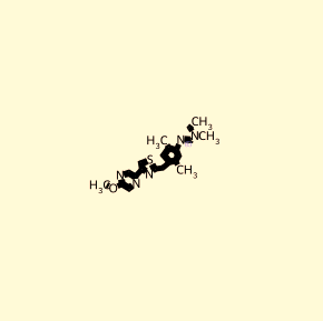 CCN(C)/C=N/c1cc(C)c(Cc2nc(-c3cnc(OC)cn3)cs2)cc1C